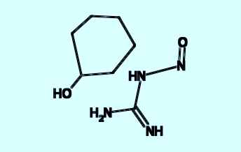 N=C(N)NN=O.OC1CCCCC1